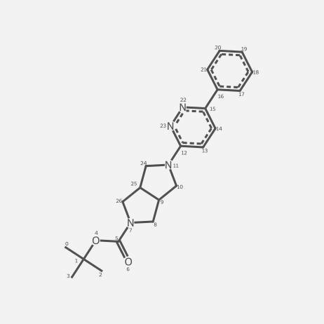 CC(C)(C)OC(=O)N1CC2CN(c3ccc(-c4ccccc4)nn3)CC2C1